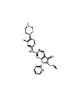 C=CCn1c(=O)c2cnc(Nc3ccc(N4CCNCC4)c(C)c3)nc2n1-c1ccccn1